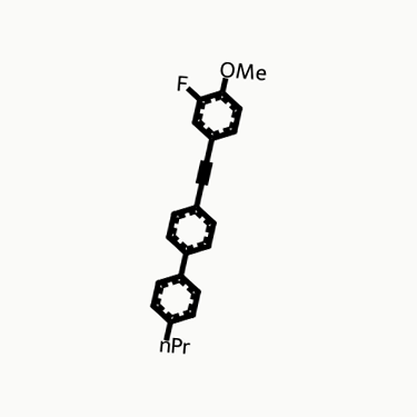 CCCc1ccc(-c2ccc(C#Cc3ccc(OC)c(F)c3)cc2)cc1